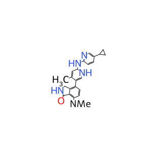 CNc1ccc(C2=CNC(Nc3ccc(C4CC4)cn3)C=C2C)c2c1C(=O)NC2